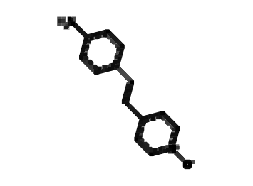 Nc1ccc(C=Cc2cc[n+]([O-])cc2)cc1